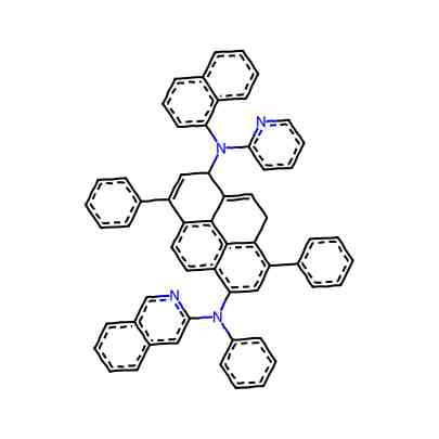 C1=C(c2ccccc2)c2ccc3c(N(c4ccccc4)c4cc5ccccc5cn4)cc(-c4ccccc4)c4c3c2C(=CC4)C1N(c1ccccn1)c1cccc2ccccc12